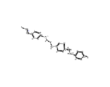 C/N=N/c1ccc(OCCOc2ccc(NNc3ccc(C)cc3)cc2)cc1